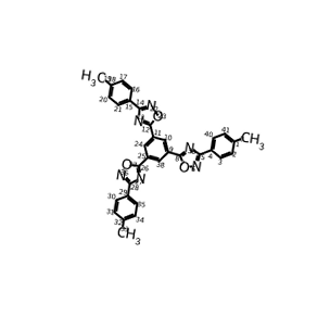 Cc1ccc(-c2noc(-c3cc(-c4nc(-c5ccc(C)cc5)no4)cc(-c4nc(-c5ccc(C)cc5)no4)c3)n2)cc1